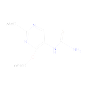 CCCCCOc1nc(OC)ncc1NC(N)=S